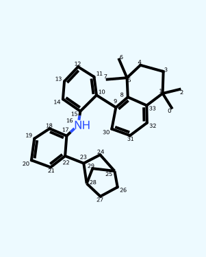 CC1(C)CCC(C)(C)c2c(-c3ccccc3Nc3ccccc3C3CC4CCC3C4)cccc21